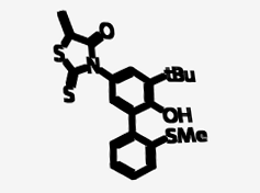 C=C1SC(=S)N(c2cc(-c3ccccc3SC)c(O)c(C(C)(C)C)c2)C1=O